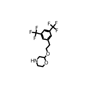 FC(F)(F)c1cc(CCOC2CNCCO2)cc(C(F)(F)F)c1